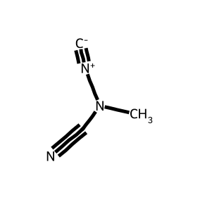 [C-]#[N+]N(C)C#N